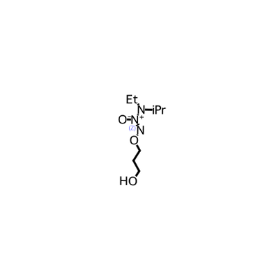 CCN(C(C)C)/[N+]([O-])=N/OCCCO